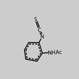 CC(=O)Nc1ccccc1N=C=S